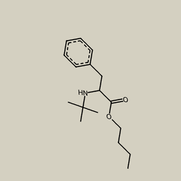 CCCCOC(=O)C(Cc1ccccc1)NC(C)(C)C